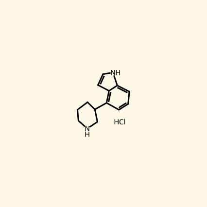 Cl.c1cc(C2CCCNC2)c2cc[nH]c2c1